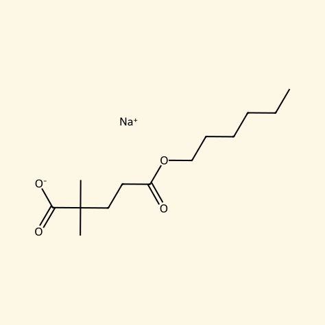 CCCCCCOC(=O)CCC(C)(C)C(=O)[O-].[Na+]